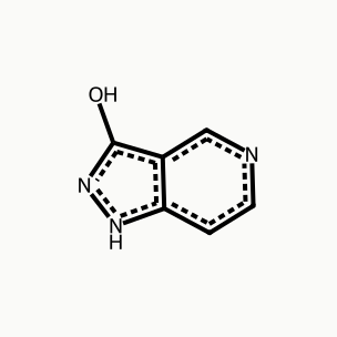 Oc1n[nH]c2ccncc12